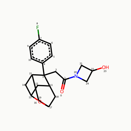 O=C(CC1(c2ccc(F)cc2)C2CC3CC1CC(C2)O3)N1CC(O)C1